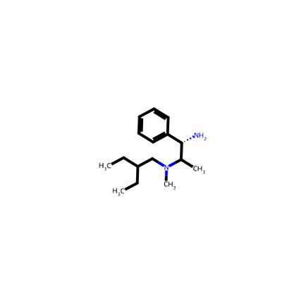 CCC(CC)CN(C)C(C)[C@@H](N)c1ccccc1